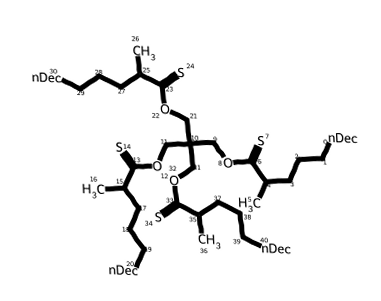 CCCCCCCCCCCCCC(C)C(=S)OCC(COC(=S)C(C)CCCCCCCCCCCCC)(COC(=S)C(C)CCCCCCCCCCCCC)COC(=S)C(C)CCCCCCCCCCCCC